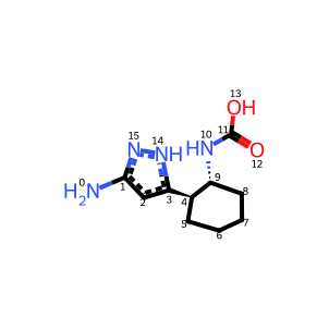 Nc1cc([C@@H]2CCCC[C@H]2NC(=O)O)[nH]n1